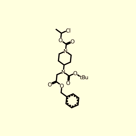 CC(Cl)OC(=O)N1CCC(N(CC(=O)OCc2ccccc2)C(=O)OC(C)(C)C)CC1